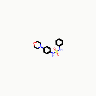 O=S(=O)(Nc1ccccc1)Nc1ccc(N2CCOCC2)cc1